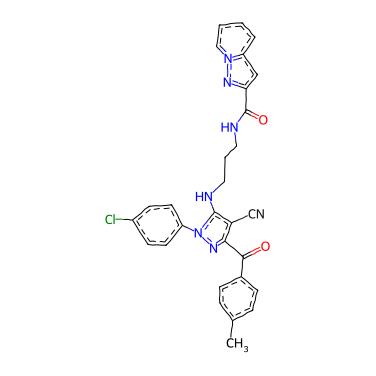 Cc1ccc(C(=O)c2nn(-c3ccc(Cl)cc3)c(NCCCNC(=O)c3cc4ccccn4n3)c2C#N)cc1